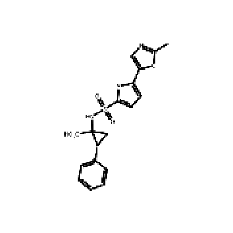 Cc1ncc(-c2ccc(S(=O)(=O)NC3(C(=O)O)C[C@H]3c3ccccc3)s2)o1